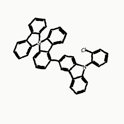 Clc1ccccc1-n1c2ccccc2c2cc(-c3cccc4c3-c3ccccc3[Si]43c4ccccc4-c4ccccc43)ccc21